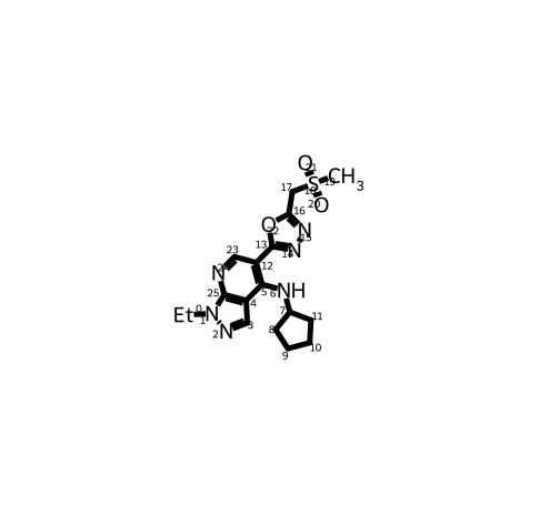 CCn1ncc2c(NC3CCCC3)c(-c3nnc(CS(C)(=O)=O)o3)cnc21